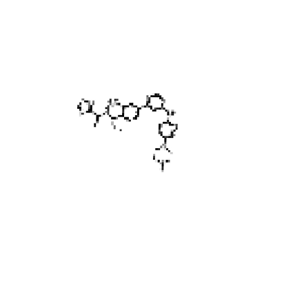 Cc1cc(-c2cc(Nc3ccc(N4CCNCC4)nn3)ncn2)ccc1C(C)NC(=O)c1ncno1